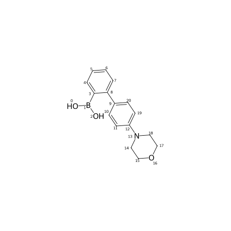 OB(O)c1ccccc1-c1ccc(N2CCOCC2)cc1